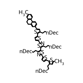 CCCCCCCCCCCCc1cc(C)sc1-c1ccc(-c2nc(CCCCCCCCCCCC)c(-c3sc(-c4ccc(-c5sc(-c6ccc7c(c6)CCc6cc(C)ccc6-7)cc5CCCCCCCCCCCC)s4)nc3CCCCCCCCCCCC)s2)s1